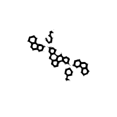 Cc1c2c3c(cccc3c3cc(N(c4ccc(C(C)(C)C)cc4)c4ccc5ccc6ccccc6c5c4)ccc13)C(C)(C)c1cc(N(c3ccc(C(C)(C)C)cc3)c3ccc4ccc5ccccc5c4c3)ccc1-2